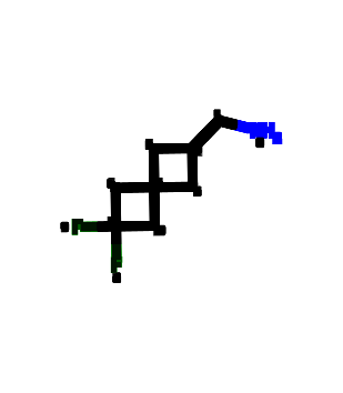 NCC1CC2(C1)CC(F)(F)C2